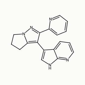 c1ccc(-c2nn3c(c2-c2c[nH]c4ncccc24)CCC3)nc1